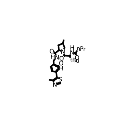 CCCC(=O)NC(C(=O)N1CC(C)CC1C(=O)NCc1ccc(-c2scnc2C)cc1O)C(C)(C)C